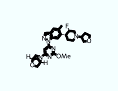 COc1nc(N2C[C@@H]3C[C@H]2CO3)cc(-n2ncc3cc(C)c([C@H]4CCN(C5CCOC5)C[C@H]4F)cc32)n1